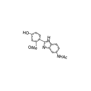 COc1cc(O)ccc1-c1nc2cc(NC(C)=O)ccc2[nH]1